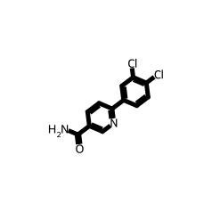 NC(=O)c1ccc(-c2ccc(Cl)c(Cl)c2)nc1